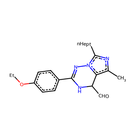 CCCCCCCc1nc(C)c2n1N=C(c1ccc(OCC)cc1)NC2C=O